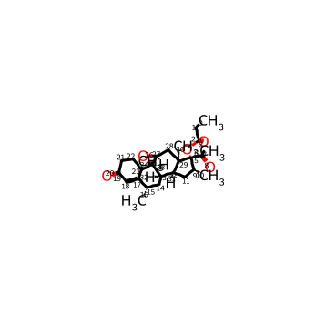 CCC(=O)O[C@]1(C(C)=O)[C@@H](C)C[C@H]2[C@@H]3C[C@H](C)C4=CC(=O)CC[C@]4(C)C34O[C@H]4C[C@@]21C